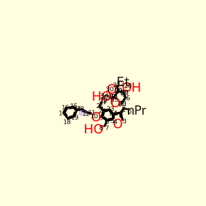 CCCC(c1coc2c(CO)c(OC/C=C/c3ccccc3)c(CC(C)C)cc12)[C@H]1C[C@@H](O)[C@@]2(OC2CC)[C@H](O)O1